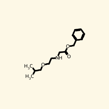 CC(C)COCCNCC(=O)OCc1ccccc1